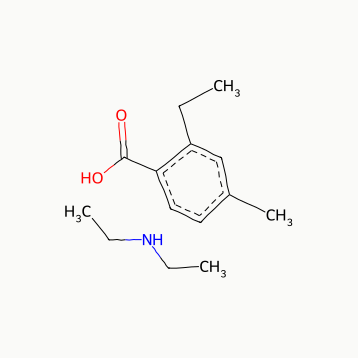 CCNCC.CCc1cc(C)ccc1C(=O)O